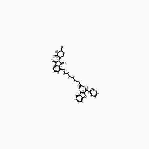 O=C1CCC(N2C(=O)c3cccc(NCCCCCCC(=O)NC(c4cccnn4)c4cc5ccccc5o4)c3C2=O)C(=O)N1